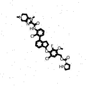 COc1c(COC(=O)[C@@H]2CCCN2)cc(Cl)c(OC2CCc3c(-c4cccc(NC(=O)c5nc6c(n5C)CCN(C)C6)c4Cl)cccc32)c1F